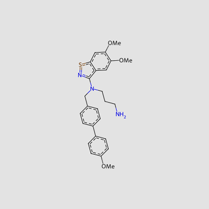 COc1ccc(-c2ccc(CN(CCCN)c3nsc4cc(OC)c(OC)cc34)cc2)cc1